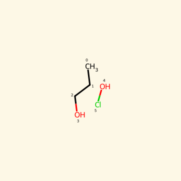 CCCO.OCl